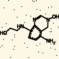 Nc1ccc(NCCO)c2c1CN(O)C=N2